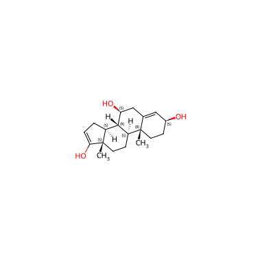 C[C@]12CC[C@H](O)C=C1C[C@H](O)[C@@H]1[C@@H]2CC[C@]2(C)C(O)=CC[C@@H]12